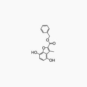 Cc1c(C(=O)OCc2ccccc2)oc2c(O)ccc(O)c12